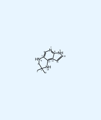 CC1(C)CNc2cnc3[nH]ccc3c2N1